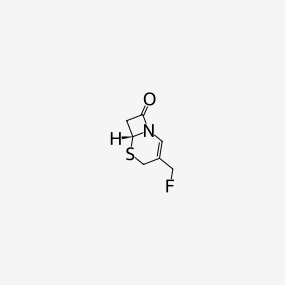 O=C1C[C@H]2SCC(CF)=CN12